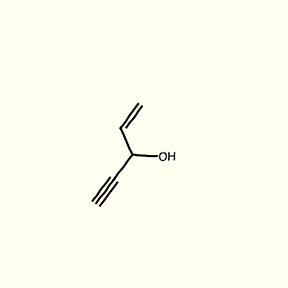 C#CC(O)C=C